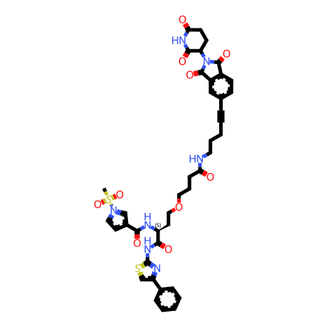 CS(=O)(=O)n1ccc(C(=O)N[C@@H](CCOCCCC(=O)NCCCC#Cc2ccc3c(c2)C(=O)N(C2CCC(=O)NC2=O)C3=O)C(=O)Nc2nc(-c3ccccc3)cs2)c1